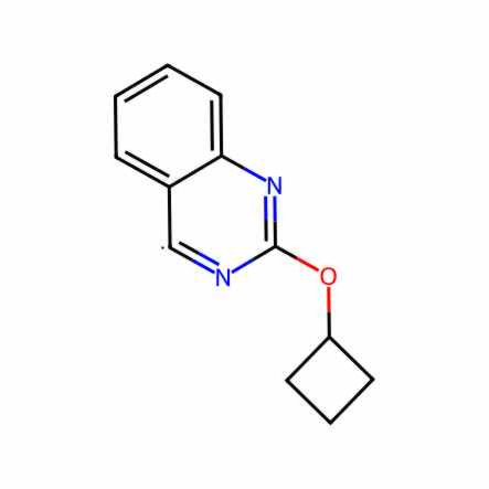 [c]1nc(OC2CCC2)nc2ccccc12